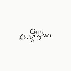 COC(=O)c1cccc(N2C(=O)N(Cc3cccnc3)CC3=C2NCC=C3)c1